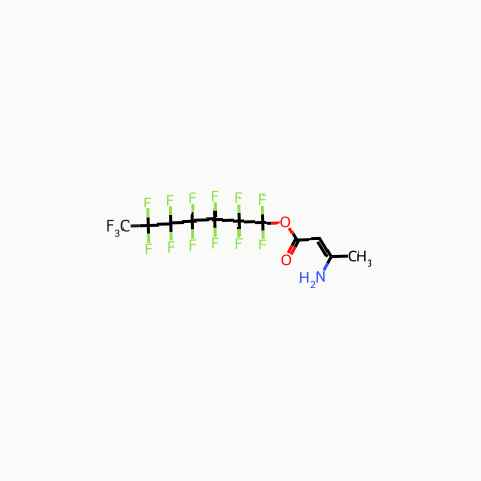 CC(N)=CC(=O)OC(F)(F)C(F)(F)C(F)(F)C(F)(F)C(F)(F)C(F)(F)C(F)(F)F